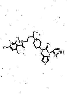 Cc1cc(Cl)nc(Cl)c1C(=O)NCCC(C)N1CCC(N(Cc2ccsc2)C(=O)Nc2cc[nH]n2)CC1